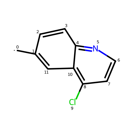 [CH2]c1ccc2nccc(Cl)c2c1